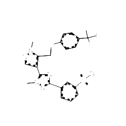 Cn1nc(-c2cccc(S(N)(=O)=O)c2)nc1-c1cnn(C)c1COc1ccc(C(F)(F)F)cc1